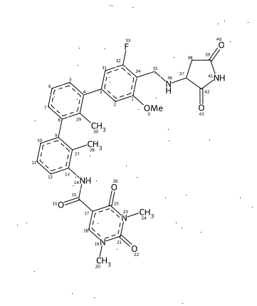 COc1cc(-c2cccc(-c3cccc(NC(=O)c4cn(C)c(=O)n(C)c4=O)c3C)c2C)cc(F)c1CNC1CC(=O)NC1=O